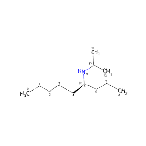 CCCCC[C@H](CCC)NC(C)C